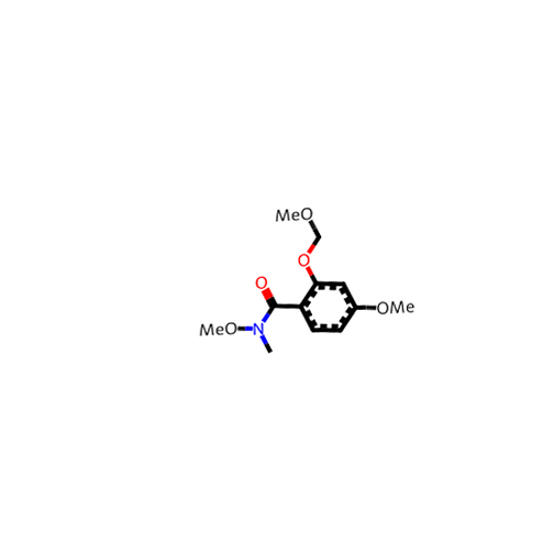 COCOc1cc(OC)ccc1C(=O)N(C)OC